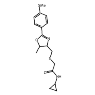 CSc1ccc(C2=NC(CSCC(=O)NC3CC3)C(C)O2)cc1